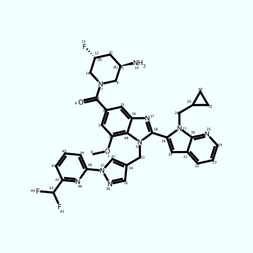 COc1cc(C(=O)N2C[C@H](N)C[C@@H](F)C2)cc2nc(-c3cc4cccnc4n3CC3CC3)n(Cc3cnn(-c4cccc(C(F)F)n4)c3)c12